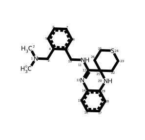 CN(C)Cc1ccccc1CNC1=Nc2ccccc2NC12CCSCC2